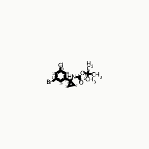 CC(C)(C)OC(=O)NC1(c2cc(Cl)cc(Br)c2)CC1